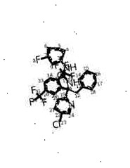 O=C(Nc1cccc(F)c1)N[C@](Cc1ccccc1)(c1ccc(Cl)cn1)c1cc(C(F)(F)F)ccc1C(F)(F)F